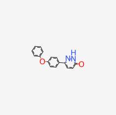 O=c1ccc(-c2ccc(Oc3ccccc3)cc2)n[nH]1